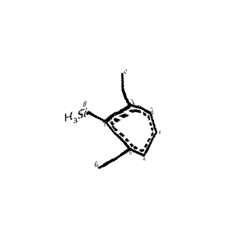 Cc1[c]ccc(C)c1[SiH3]